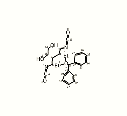 CCOCC.O=C=NCCCCN=C=O.OCCO.c1ccc(Cc2ccccc2)cc1